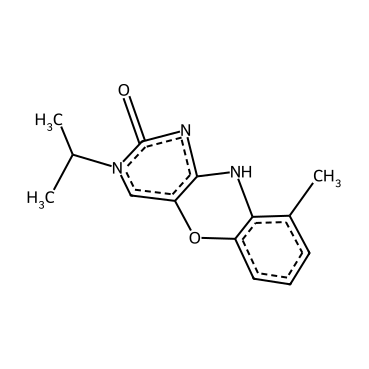 Cc1cccc2c1Nc1nc(=O)n(C(C)C)cc1O2